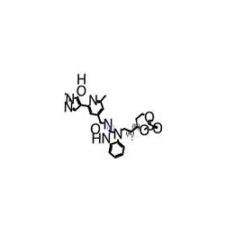 Cc1cc(C(=O)/N=c2\[nH]c3ccccc3n2C[C@@H](C)[C@H]2CCOS(=O)O2)cc(-c2cnn(C)c2O)n1